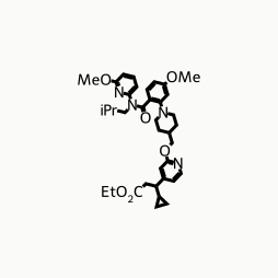 CCOC(=O)CC(c1ccnc(OCC2CCN(c3cc(OC)ccc3C(=O)N(CC(C)C)c3cccc(OC)n3)CC2)c1)C1CC1